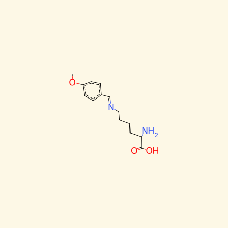 COc1ccc(/C=N/CCCCC(N)C(=O)O)cc1